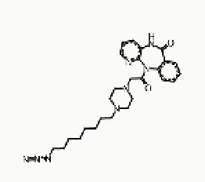 [N-]=[N+]=NCCCCCCCCN1CCN(CC(=O)N2c3ccccc3C(=O)Nc3cccnc32)CC1